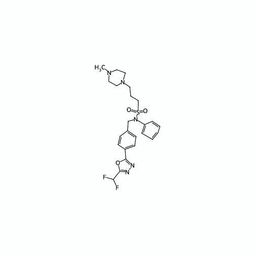 CN1CCN(CCCS(=O)(=O)N(Cc2ccc(-c3nnc(C(F)F)o3)cc2)c2ccccc2)CC1